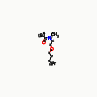 CC(C)CCCOCCN(C)C(=O)C(C)(C)C